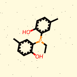 CCP(c1cc(C)ccc1O)c1cc(C)ccc1O